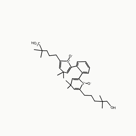 CC1(C)C=C(CCCC(C)(C)CO)[S+]([O-])C(c2ccccc2C2=CC(C)(C)C=C(CCCC(C)(C)C(=O)O)[S+]2[O-])=C1